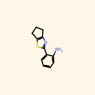 Nc1ccccc1-c1nc2c(s1)CCC2